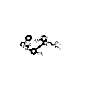 Cc1ccc(NC(=O)N2OCC[C@@H]2c2ccccc2)cc1C#Cc1nn(CCN(C)C)c2ncnc(N)c12